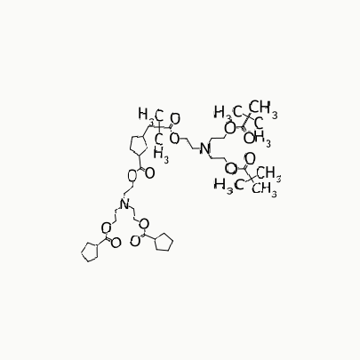 CC(C)(C)C(=O)OCCN(CCOC(=O)C(C)(C)C)CCOC(=O)C(C)(C)CC1CCC(C(=O)OCCN(CCOC(=O)C2CCCC2)CCOC(=O)C2CCCC2)C1